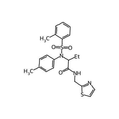 CCC(C(=O)NCc1nccs1)N(c1ccc(C)cc1)S(=O)(=O)c1ccccc1C